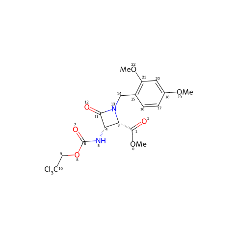 COC(=O)[C@@H]1[C@H](NC(=O)OCC(Cl)(Cl)Cl)C(=O)N1Cc1ccc(OC)cc1OC